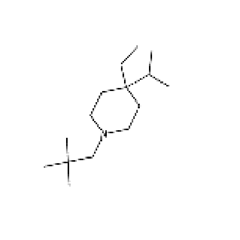 CCC1(C(C)C)CCN(CC(C)(C)C)CC1